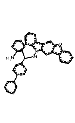 Nc1ccccc1C(Nn1c2ccccc2c2cc3oc4ccccc4c3cc21)c1ccc(-c2ccccc2)cc1